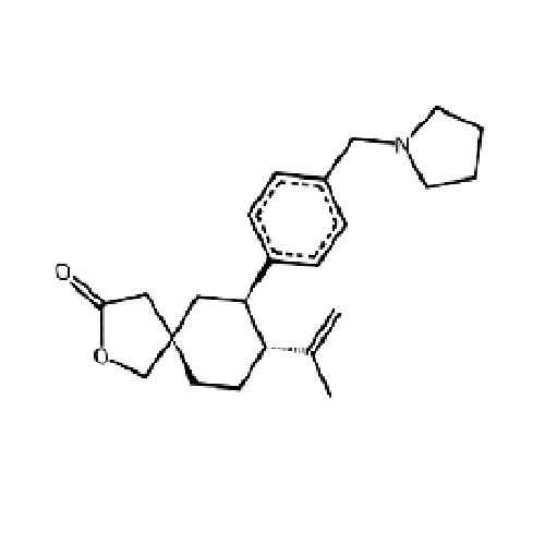 C=C(C)[C@@H]1CC[C@]2(COC(=O)C2)C[C@H]1c1ccc(CN2CCCC2)cc1